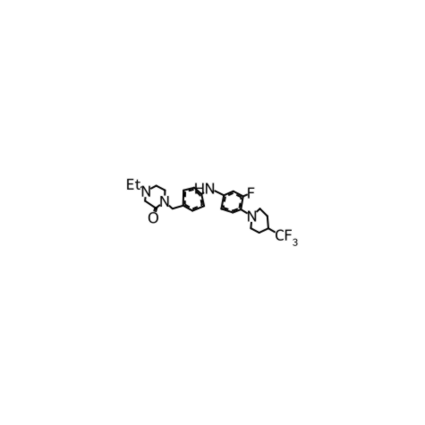 CCN1CCN(Cc2ccc(Nc3ccc(N4CCC(C(F)(F)F)CC4)c(F)c3)cc2)C(=O)C1